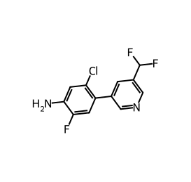 Nc1cc(Cl)c(-c2cncc(C(F)F)c2)cc1F